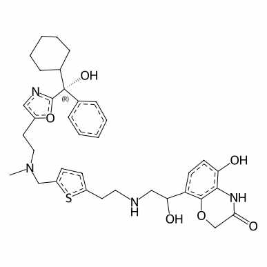 CN(CCc1cnc([C@](O)(c2ccccc2)C2CCCCC2)o1)Cc1ccc(CCNCC(O)c2ccc(O)c3c2OCC(=O)N3)s1